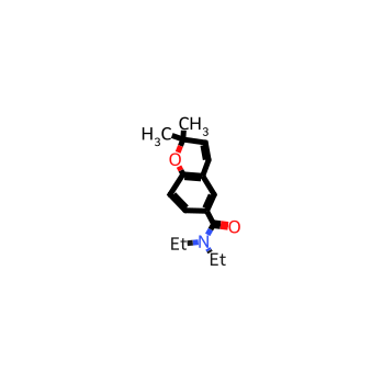 CCN(CC)C(=O)c1ccc2c(c1)C=CC(C)(C)O2